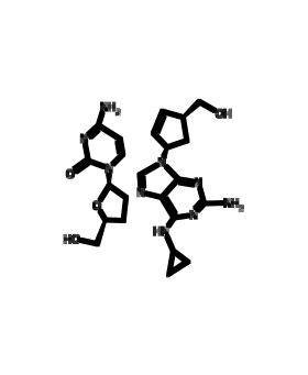 Nc1ccn([C@H]2CC[C@@H](CO)O2)c(=O)n1.Nc1nc(NC2CC2)c2ncn([C@H]3C=C[C@@H](CO)C3)c2n1